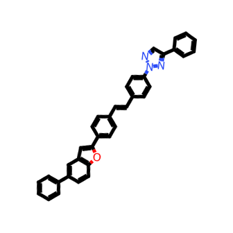 C(=C\c1ccc(-n2ncc(-c3ccccc3)n2)cc1)/c1ccc(-c2cc3cc(-c4ccccc4)ccc3o2)cc1